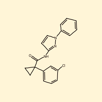 O=C(Nc1ccn(-c2ccccc2)n1)C1(c2cccc(Cl)c2)CC1